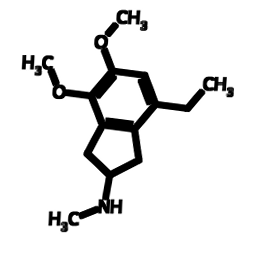 CCc1cc(OC)c(OC)c2c1CC(NC)C2